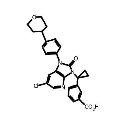 O=C(O)c1cccc(C2(n3c(=O)n(-c4ccc(C5CCOCC5)cc4)c4cc(Cl)cnc43)CC2)c1